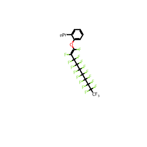 [CH2]CCc1ccccc1OC(F)=C(F)C(F)(F)C(F)(F)C(F)(F)C(F)(F)C(F)(F)C(F)(F)C(F)(F)C(F)(F)F